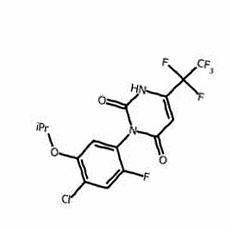 CC(C)Oc1cc(-n2c(=O)cc(C(F)(F)C(F)(F)F)[nH]c2=O)c(F)cc1Cl